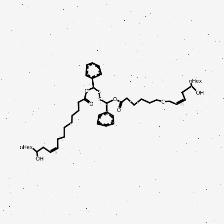 CCCCCCC(O)C/C=C\CCCCCCCC(=O)OC(SSC(OC(=O)CCCCCCC/C=C\CC(O)CCCCCC)c1ccccc1)c1ccccc1